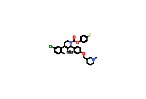 CCCCC1=C(c2cc(Cl)ccc2C)CCN(C(=O)Oc2ccc(F)cc2)C1c1ccc(OCC2CCCN(C)C2)cc1